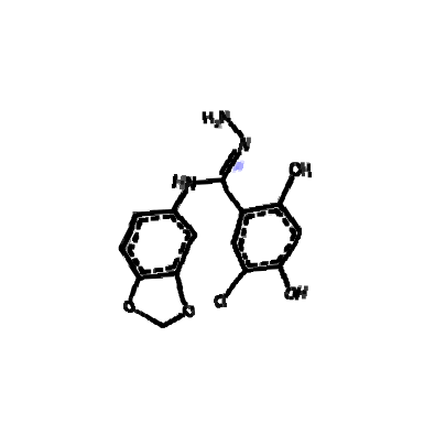 N/N=C(\Nc1ccc2c(c1)OCO2)c1cc(Cl)c(O)cc1O